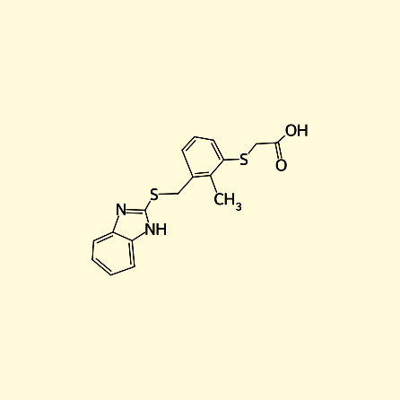 Cc1c(CSc2nc3ccccc3[nH]2)cccc1SCC(=O)O